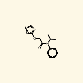 CC(C)N(C(=O)COc1nncs1)c1ccccc1